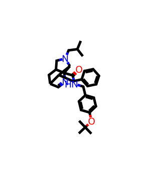 CC(C)CN1CC2CC3C=NC2(C(=O)NCc2ccc(OC(C)(C)C)cc2)C1C3Cc1ccccc1